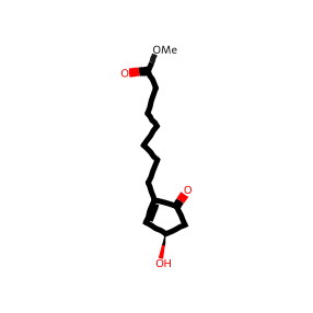 COC(=O)CCCCCCC1=C[C@H](O)CC1=O